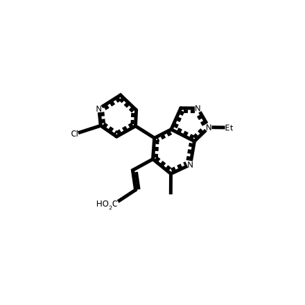 CCn1ncc2c(-c3ccnc(Cl)c3)c(/C=C/C(=O)O)c(C)nc21